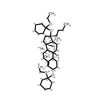 CCCC[C@]1(OC2(OCC)CCCCC2)CC[C@H]2[C@@H]3CCC4=C[C@@H](OC5(OCC)CCCCC5)CC[C@]4(C=O)[C@H]3CC[C@@]21C